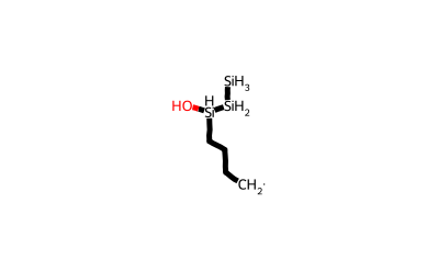 [CH2]CCC[SiH](O)[SiH2][SiH3]